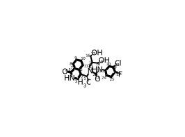 C[C@@H](c1c[nH]c(=O)c2ccccc12)N(CC(CO)CO)C(=O)Nc1ccc(F)c(Cl)c1